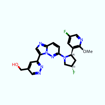 COc1ncc(F)cc1[C@H]1C[C@H](F)CN1c1ccc2ncc(-c3cc(CO)cnn3)n2n1